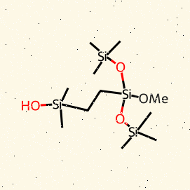 CO[Si](CC[Si](C)(C)O)(O[Si](C)(C)C)O[Si](C)(C)C